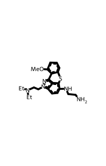 CCN(CC)CCn1nc2c3c(c(NCCN)ccc31)Sc1cccc(OC)c1-2